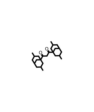 CC1CC2CC(C)CC(C(=O)CC(=O)C34CC(C)CC(CC(C)C3)C4)(C1)C2